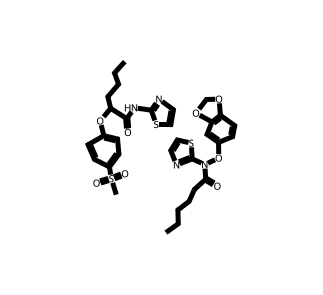 CCCCC(Oc1ccc(S(C)(=O)=O)cc1)C(=O)Nc1nccs1.CCCCCC(=O)N(Oc1ccc2c(c1)OCO2)c1nccs1